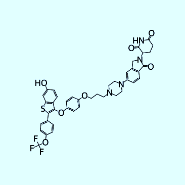 O=C1CCC(N2Cc3cc(N4CCN(CCCOc5ccc(Oc6c(-c7ccc(OC(F)(F)F)cc7)sc7cc(O)ccc67)cc5)CC4)ccc3C2=O)C(=O)N1